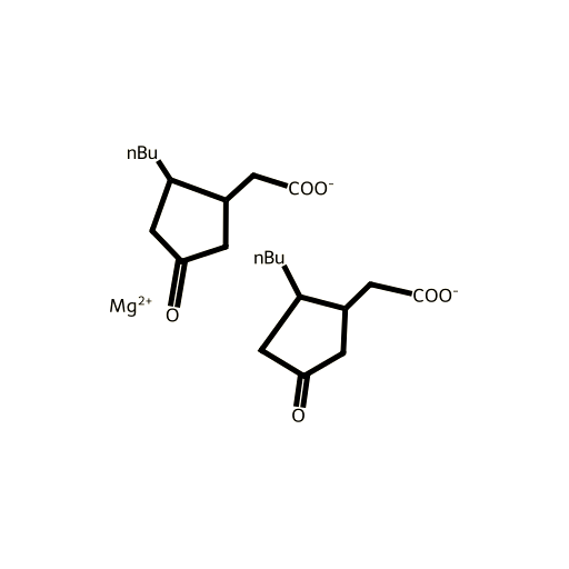 CCCCC1CC(=O)CC1CC(=O)[O-].CCCCC1CC(=O)CC1CC(=O)[O-].[Mg+2]